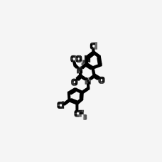 O=C(O)Cn1c(=O)n(Cc2ccc(Cl)c(C(F)(F)F)c2)c(=O)c2ccc(Cl)cc21